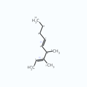 [CH2]/C=C(\C)C(C)/C=C/CCC